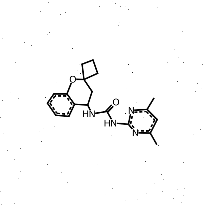 Cc1cc(C)nc(NC(=O)NC2CC3(CCC3)Oc3ccccc32)n1